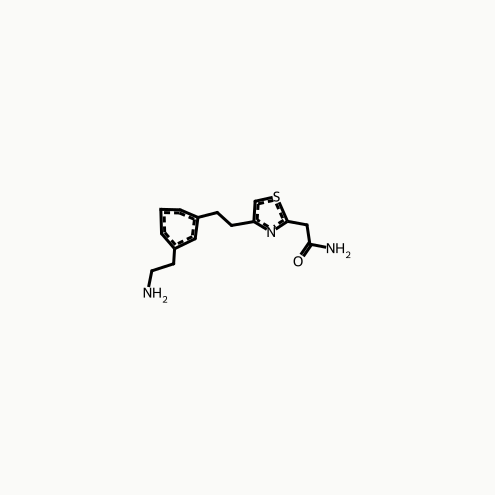 NCCc1cccc(CCc2csc(CC(N)=O)n2)c1